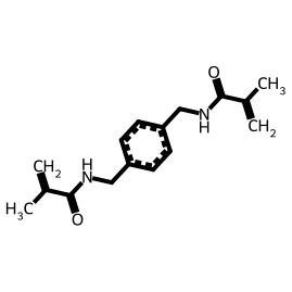 C=C(C)C(=O)NCc1ccc(CNC(=O)C(=C)C)cc1